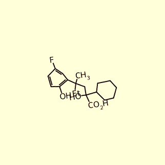 CCC(C)(CC(O)(C(=O)O)C1CCCCC1)c1cc(F)ccc1O